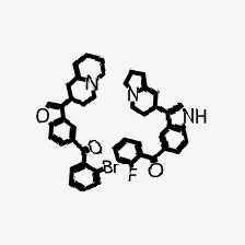 O=C(c1ccc2[nH]cc(C3CCN4CCCC4C3)c2c1)c1ccccc1F.O=C(c1ccc2occ(C3CCN4CCCCC4C3)c2c1)c1ccccc1Br